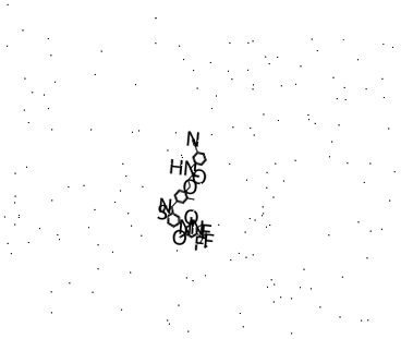 Cc1cc(-c2nsc3ccc(-n4c(=O)cc(C(F)(F)F)n(C)c4=O)cc23)ccc1OCC(=O)Nc1cccc(C#N)c1